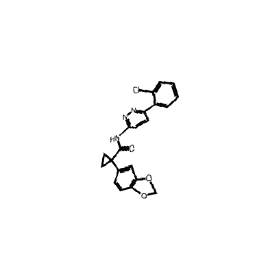 O=C(Nc1ccc(-c2ccccc2Cl)nn1)C1(c2ccc3c(c2)OCO3)CC1